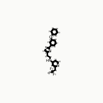 FC(F)(F)Cc1cc(NCCc2csc(-c3cccc(Oc4ccccc4)c3)n2)ccn1